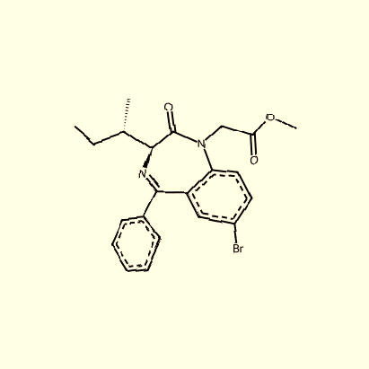 CC[C@H](C)[C@@H]1N=C(c2ccccc2)c2cc(Br)ccc2N(CC(=O)OC)C1=O